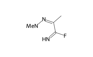 CN/N=C(/C)C(=N)F